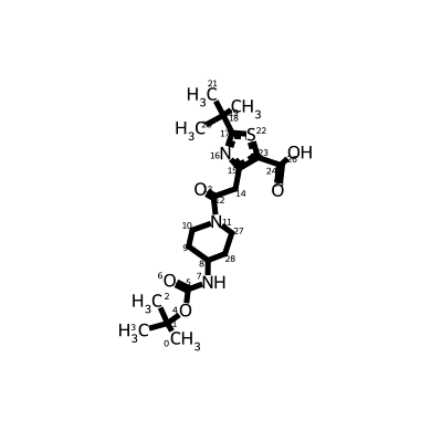 CC(C)(C)OC(=O)NC1CCN(C(=O)Cc2nc(C(C)(C)C)sc2C(=O)O)CC1